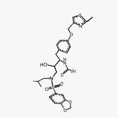 Cc1nc(COc2ccc(CC(NC(=O)O)C(O)CN(CC(C)C)S(=O)(=O)c3ccc4c(c3)OCO4)cc2)cs1